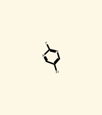 CCc1[c]nc(F)nc1